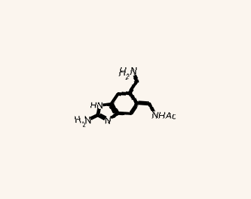 CC(=O)NCC1Cc2nc(N)[nH]c2CC1CN